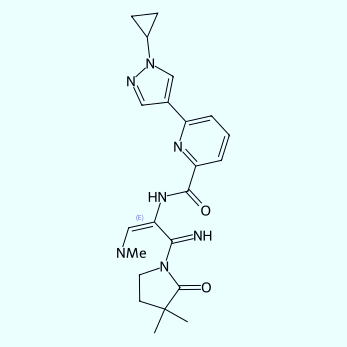 CN/C=C(/NC(=O)c1cccc(-c2cnn(C3CC3)c2)n1)C(=N)N1CCC(C)(C)C1=O